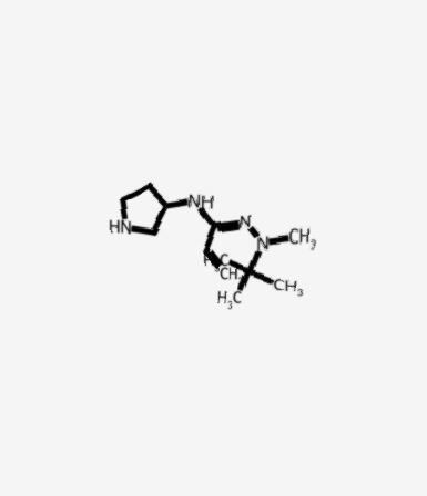 C=C/C(=N\N(C)C(C)(C)C)NC1CCNC1